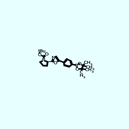 CC(C)(C)OC(=O)N1CCC[C@@H]1c1ncc(-c2ccc(B3OC(C)(C)C(C)(C)O3)cc2)o1